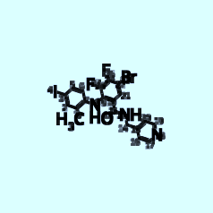 Cc1cc(I)ccc1Nc1c(C(=O)NCc2ccncc2)cc(Br)c(F)c1F